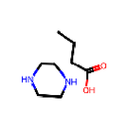 C1CNCCN1.CCCC(=O)O